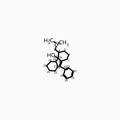 CN(C)CC1CCCC(=Cc2ccccc2)C1(O)C1CCCCC1